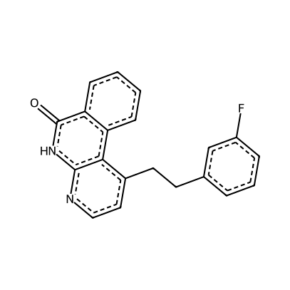 O=c1[nH]c2nccc(CCc3cccc(F)c3)c2c2ccccc12